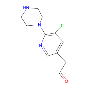 O=CCc1cnc(N2CCNCC2)c(Cl)c1